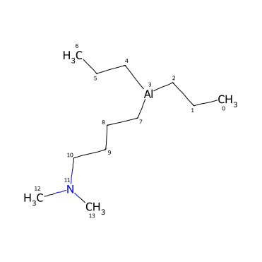 CC[CH2][Al]([CH2]CC)[CH2]CCCN(C)C